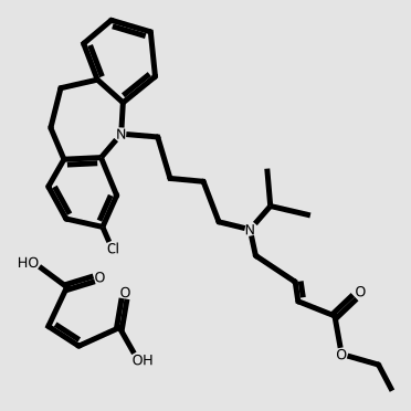 CCOC(=O)/C=C/CN(CCCCN1c2ccccc2CCc2ccc(Cl)cc21)C(C)C.O=C(O)/C=C\C(=O)O